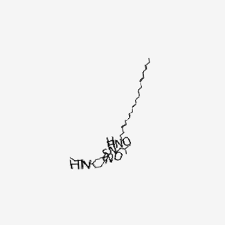 CCC=CCC=CCC=CCC=CCC=CCC=CCCC(=O)N[C@H](C(=O)Nc1nc2c(s1)C[C@H](NCCC)CC2)C(C)C